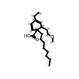 CCCCCCCCC1(C(=O)O)C=CC(CC)=CC1CCOC